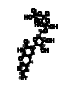 CC(C)n1cc(Cc2cn([C@@H]3O[C@H](COP(=O)(O)OP(=O)(O)OP(=O)(O)O)C(O)[C@@H]3O)c(=O)[nH]c2=O)nn1